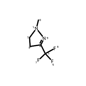 CN1C[C]C(C(F)(F)F)=N1